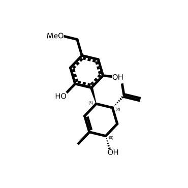 C=C(C)[C@@H]1C[C@H](O)C(C)=C[C@H]1c1c(O)cc(COC)cc1O